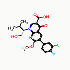 COc1nc2c(cc1-c1ccc(F)c(Cl)c1)c(=O)c(C(=O)O)cn2[C@H](CO)C(C)C